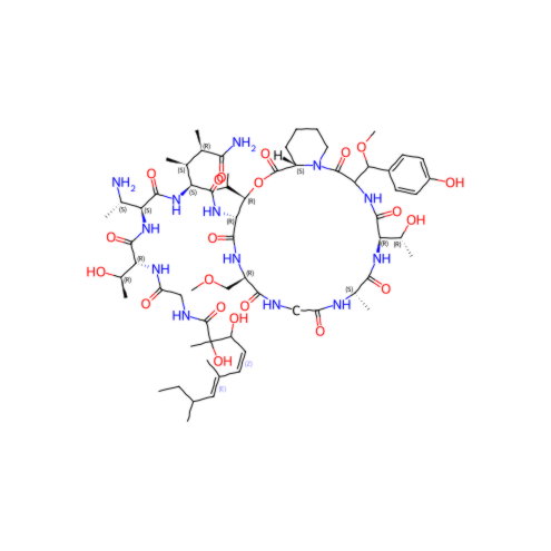 CCC(C)/C=C(C)/C=C\C(O)C(C)(O)C(=O)NCC(=O)N[C@@H](C(=O)N[C@H](C(=O)N[C@H](C(=O)N[C@H]1C(=O)N[C@H](COC)C(=O)NCC(=O)N[C@@H](C)C(=O)N[C@H]([C@@H](C)O)C(=O)NC(C(OC)c2ccc(O)cc2)C(=O)N2CCCC[C@H]2C(=O)O[C@@H]1C(C)C)[C@@H](C)[C@@H](C)C(N)=O)[C@H](C)N)[C@@H](C)O